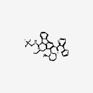 CCCCc1c2c(cc(C(=O)c3ncccc3-c3cccs3)c1N1CCCCC1N)-c1ccccc1C2C(=O)NCC(F)(F)F